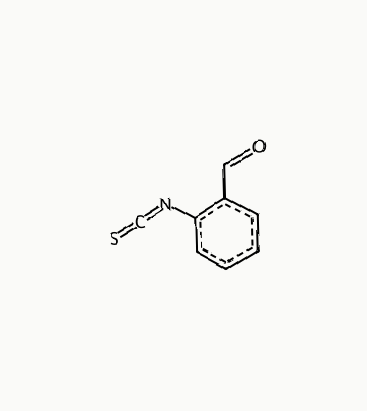 O=Cc1ccccc1N=C=S